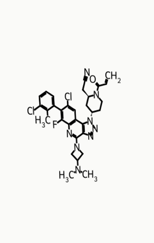 C=CC(=O)N1CC[C@H](n2nnc3c(N4CC(N(C)C)C4)nc4c(F)c(-c5cccc(Cl)c5C)c(Cl)cc4c32)C[C@H]1CC#N